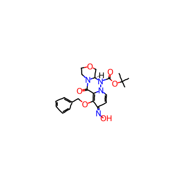 CC(C)(C)OC(=O)N1[C@@H]2COCCN2C(=O)c2c(OCc3ccccc3)/c(=N/O)ccn21